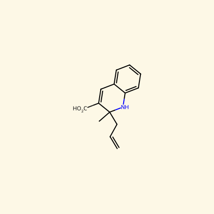 C=CCC1(C)Nc2ccccc2C=C1C(=O)O